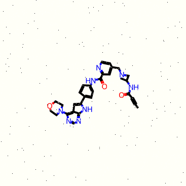 CC#CC(=O)NC1CN(Cc2ccnc(C(=O)Nc3ccc(-c4cc5c(N6CCOCC6)ncnc5[nH]4)cc3)c2)C1